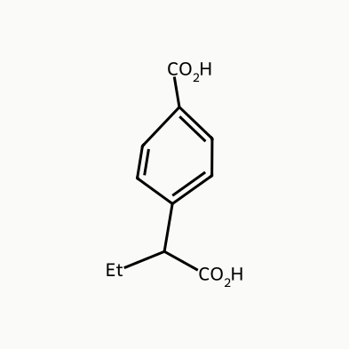 CCC(C(=O)O)c1ccc(C(=O)O)cc1